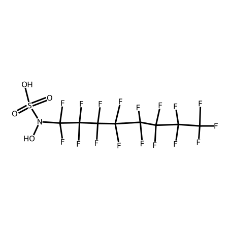 O=S(=O)(O)N(O)C(F)(F)C(F)(F)C(F)(F)C(F)(F)C(F)(F)C(F)(F)C(F)(F)C(F)(F)F